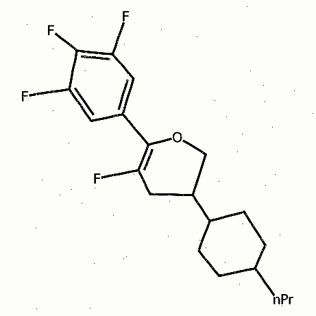 CCCC1CCC(C2COC(c3cc(F)c(F)c(F)c3)=C(F)C2)CC1